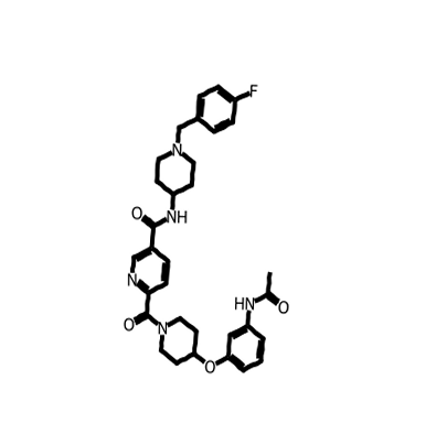 CC(=O)Nc1cccc(OC2CCN(C(=O)c3ccc(C(=O)NC4CCN(Cc5ccc(F)cc5)CC4)cn3)CC2)c1